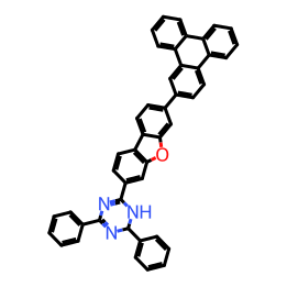 c1ccc(C2=NC(c3ccccc3)NC(c3ccc4c(c3)oc3cc(-c5ccc6c7ccccc7c7ccccc7c6c5)ccc34)=N2)cc1